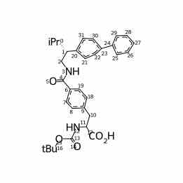 CC(C)[C@@H](CNC(=O)c1ccc(CC(NC(=O)OC(C)(C)C)C(=O)O)cc1)c1ccc(-c2ccccc2)cc1